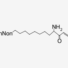 C=CC(=O)C(N)CCCCCCCCCCCCCCCCC